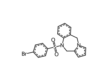 O=S(=O)(c1ccc(Br)cc1)N1Cc2cccn2Cc2ccccc21